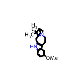 COc1ccc2[nH]c3c(c2c1)CCN1CC2CC3C1C2(C)C